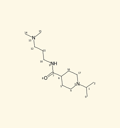 CC(C)N1CCC(C(=O)NCCCN(C)C)CC1